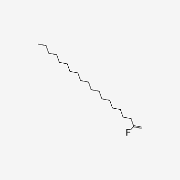 C=C(F)CCCCCCCCCCCCCCCCCC